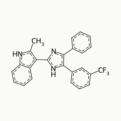 Cc1[nH]c2ccccc2c1-c1nc(-c2ccccc2)c(-c2cccc(C(F)(F)F)c2)[nH]1